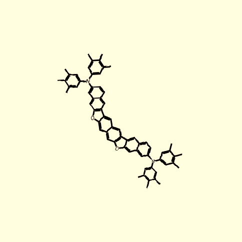 Cc1cc(N(c2cc(C)c(C)c(C)c2)c2ccc3cc4c(cc3c2)oc2cc3cc5oc6cc7cc(N(c8cc(C)c(C)c(C)c8)c8cc(C)c(C)c(C)c8)ccc7cc6c5cc3cc24)cc(C)c1C